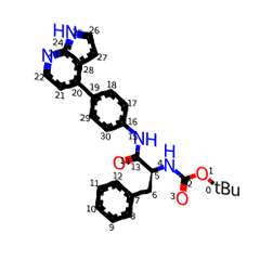 CC(C)(C)OC(=O)N[C@@H](Cc1ccccc1)C(=O)Nc1ccc(-c2ccnc3[nH]ccc23)cc1